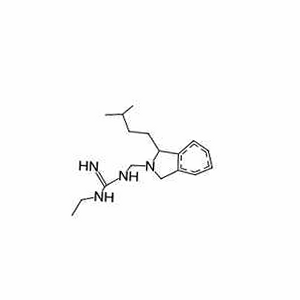 CCNC(=N)NCN1Cc2ccccc2C1CCC(C)C